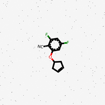 N#Cc1c(F)cc(F)cc1OC1CC=CC1